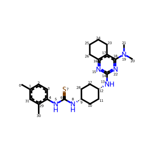 Cc1ccc(NC(=S)N[C@H]2CC[C@@H](Nc3nc4c(c(N(C)C)n3)CCCC4)CC2)c(C)c1